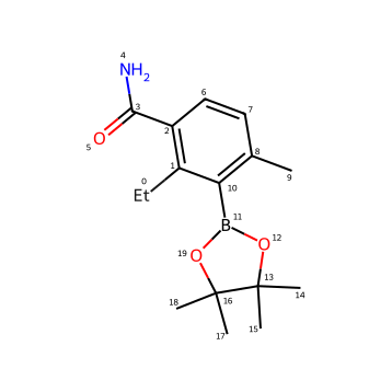 CCc1c(C(N)=O)ccc(C)c1B1OC(C)(C)C(C)(C)O1